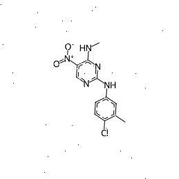 CNc1nc(Nc2ccc(Cl)c(C)c2)ncc1[N+](=O)[O-]